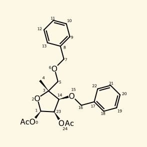 CC(=O)O[C@H]1O[C@](C)(COCc2ccccc2)[C@@H](OCc2ccccc2)[C@H]1OC(C)=O